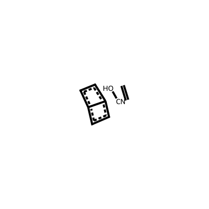 C=C.N#CO.c1cc2ccc1-2